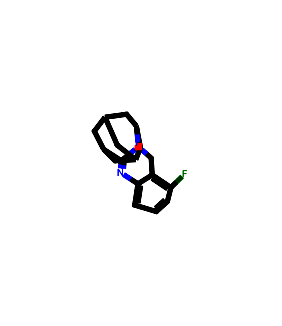 Fc1cccc2c1CN1C(=N2)C2CC3CC(C2)CC1C3